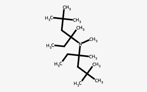 CCC(C)(CC(C)(C)C)N(C)C(C)(CC)CC(C)(C)C